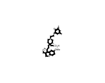 COc1ccc2ncc(CF)c([C@H](F)CCC3(CC(=O)O)CCN(CCSc4cc(F)cc(F)c4F)CC3)c2c1